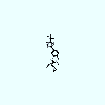 CCN(C(=O)N(C)Cc1ccc(-c2noc(C(F)(F)F)n2)cc1)C1CC1